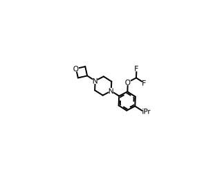 CC(C)c1ccc(N2CCN(C3COC3)CC2)c(OC(F)F)c1